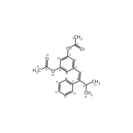 CC(=O)Oc1cc(C=C(c2ccccc2)C(C)C)cc(OC(C)=O)c1